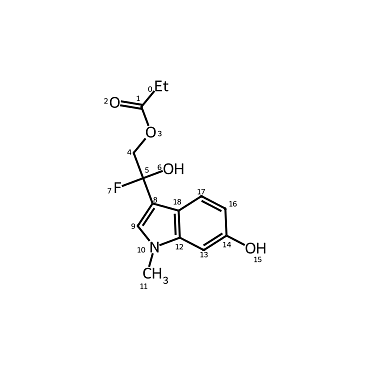 CCC(=O)OCC(O)(F)c1cn(C)c2cc(O)ccc12